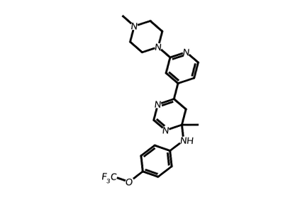 CN1CCN(c2cc(C3=NC=NC(C)(Nc4ccc(OC(F)(F)F)cc4)C3)ccn2)CC1